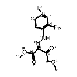 COCC(=O)/C(=N\Nc1ccc(I)cc1F)C(=O)OC